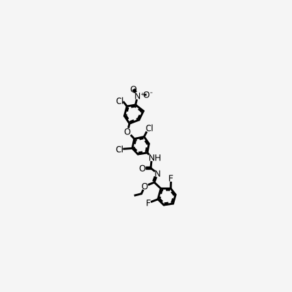 CCO/C(=N\C(=O)Nc1cc(Cl)c(Oc2ccc([N+](=O)[O-])c(Cl)c2)c(Cl)c1)c1c(F)cccc1F